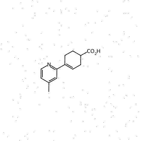 Cc1ccnc(C2=CCC(C(=O)O)CC2)c1